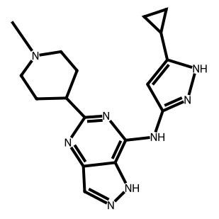 CN1CCC(c2nc(Nc3cc(C4CC4)[nH]n3)c3[nH]ncc3n2)CC1